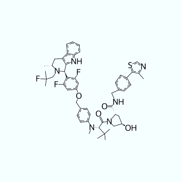 Cc1ncsc1-c1ccc(CNC(=O)[C@@H]2C[C@@H](O)CN2C(=O)[C@@H](N(C)c2ccc(COc3cc(F)c([C@@H]4c5[nH]c6ccccc6c5C[C@@H](C)N4CC(C)(C)F)c(F)c3)cc2)C(C)(C)C)cc1